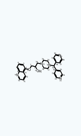 OC(COc1cccc2ncccc12)CN1CCN(C(c2ccncc2)c2ccncc2)CC1